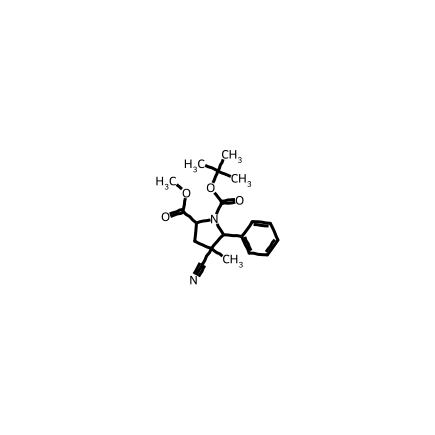 COC(=O)C1CC(C)(C#N)C(c2ccccc2)N1C(=O)OC(C)(C)C